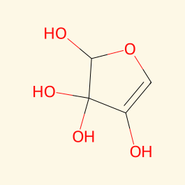 OC1=COC(O)C1(O)O